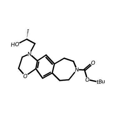 C[C@@H](O)CN1CCOc2cc3c(cc21)CCN(C(=O)OC(C)(C)C)CC3